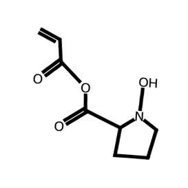 C=CC(=O)OC(=O)C1CCCN1O